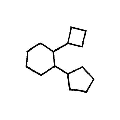 C1CCC(C2CCC2)[C](C2CCCC2)C1